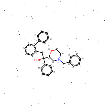 OC(Cc1ccccc1-c1ccccc1)(c1ccccc1)[C@@H]1CN(Cc2ccccc2)CCO1